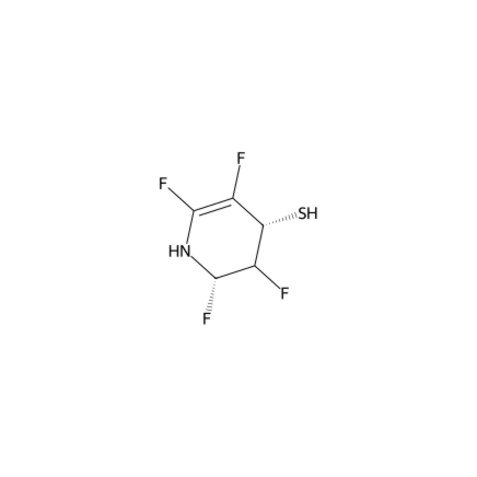 FC1=C(F)[C@H](S)C(F)[C@H](F)N1